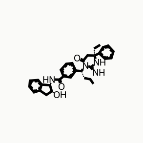 CCC[C@H](c1cccc(C(=O)N[C@@H]2c3ccccc3C[C@H]2O)c1)N1C(=N)N[C@](CC)(c2ccccc2)CC1=O